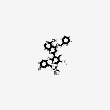 Cc1c(C(F)(F)F)cnc(Oc2ccc(F)cc2CO[Si](C)(C)C(C)(C)C)c1-c1cc(OCc2ccccc2)c2c(C#N)nccc2n1